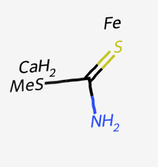 CSC(N)=S.[CaH2].[Fe]